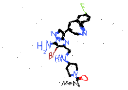 CNC(=O)N1CCC(NCc2nc3c(-c4cnc5ccc(F)cc5c4)cnn3c(N)c2Br)CC1